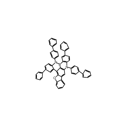 c1ccc(-c2ccc(N3B4c5cc(-c6ccccc6)ccc5N(c5ccc(-c6ccccc6)cc5)c5cc6c(oc7ccccc76)c(c54)-c4cc(-c5ccccc5)ccc43)cc2)cc1